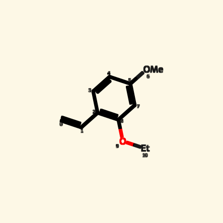 C=Cc1ccc(OC)cc1OCC